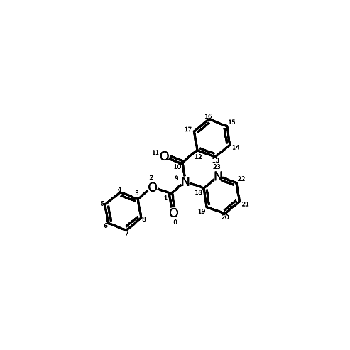 O=C(Oc1ccccc1)N(C(=O)c1ccccc1)c1ccccn1